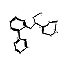 CC(C)CN(Cc1ccccc1-c1ccccc1)C1CCNCC1